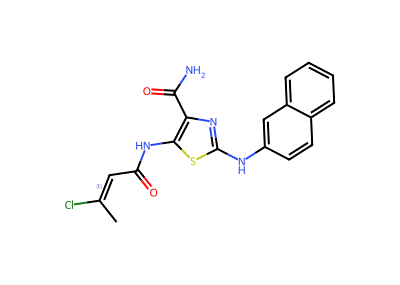 C/C(Cl)=C\C(=O)Nc1sc(Nc2ccc3ccccc3c2)nc1C(N)=O